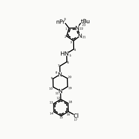 CCCc1cc(CNCCN2CCN(c3cccc(Cl)c3)CC2)nn1C(C)(C)C